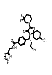 CC(C)CC[C@H](c1ccc(C(=O)NCc2nn[nH]n2)cc1)N1C(=O)C(N2CCCC(F)(F)C2)=NC12CCC(C(C)(C)C)CC2